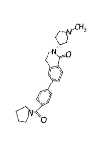 CN1CC[C@@H](N2CCc3cc(-c4ccc(C(=O)N5CCCC5)cc4)ccc3C2=O)C1